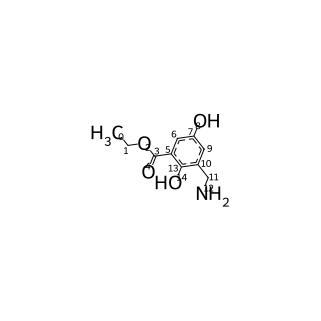 CCOC(=O)c1cc(O)cc(CN)c1O